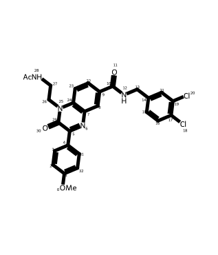 COc1ccc(-c2nc3cc(C(=O)NCc4ccc(Cl)c(Cl)c4)ccc3n(CCNC(C)=O)c2=O)cc1